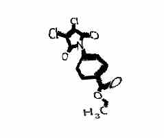 CCOC(=O)c1ccc(N2C(=O)C(Cl)=C(Cl)C2=O)cc1